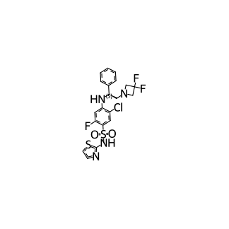 O=S(=O)(Nc1nccs1)c1cc(Cl)c(N[C@H](CN2CC(F)(F)C2)c2ccccc2)cc1F